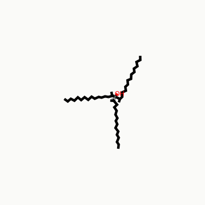 CCCCCCCCCCCCCCC(C)[Si](O)(C(C)CCCCCCCCCCCCCC)C(C)CCCCCCCCCCCCCC